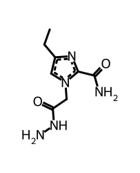 CCc1cn(CC(=O)NN)c(C(N)=O)n1